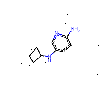 Nc1ccc(NC2CCC2)cn1